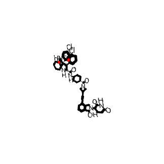 O=C1CCC(N2Cc3c(C#CC4CN(C(=O)[C@H]5CC[C@H](NC(=O)[C@@H]6NC7(CCCCC7)[C@@]7(C(=O)Nc8cc(Cl)ccc87)[C@H]6c6cccc(Cl)c6F)CC5)C4)cccc3C2O)C(=O)N1